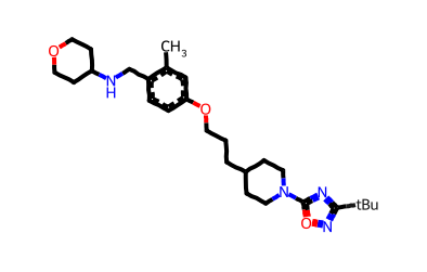 Cc1cc(OCCCC2CCN(c3nc(C(C)(C)C)no3)CC2)ccc1CNC1CCOCC1